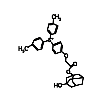 Cc1ccc([S+](c2ccc(C)cc2)c2ccc(OCC(=O)OC34CC5CC(CC(O)(C5)C3)C4)cc2)cc1